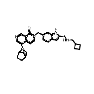 O=c1c2cncc(N3CC4CCC3C4)c2ccn1Cc1ccc2cc(CNCC3CCC3)[nH]c2c1